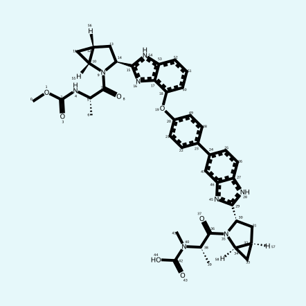 COC(=O)N[C@@H](C)C(=O)N1[C@@H]2C[C@@H]2C[C@H]1c1nc2c(Oc3ccc(-c4ccc5[nH]c([C@@H]6C[C@H]7C[C@H]7N6C(=O)[C@H](C)N(C)C(=O)O)nc5c4)cc3)cccc2[nH]1